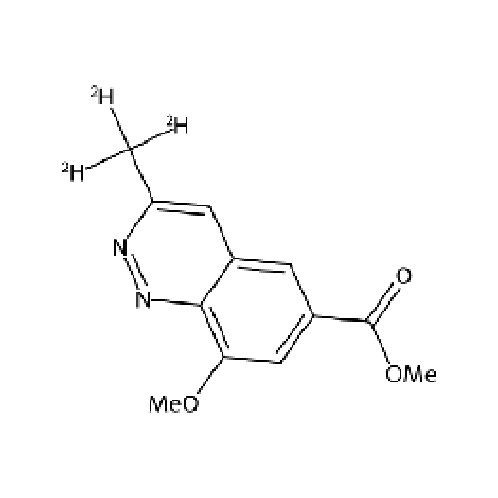 [2H]C([2H])([2H])c1cc2cc(C(=O)OC)cc(OC)c2nn1